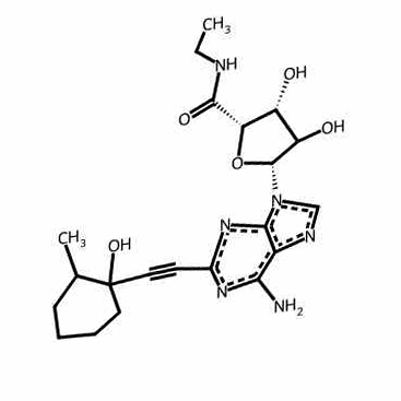 CCNC(=O)[C@H]1O[C@@H](n2cnc3c(N)nc(C#CC4(O)CCCCC4C)nc32)C(O)[C@H]1O